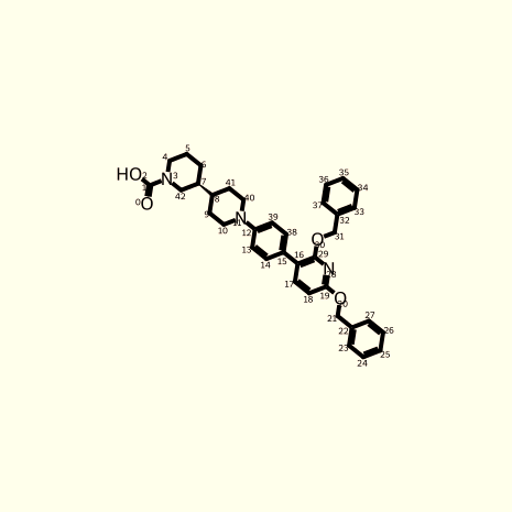 O=C(O)N1CCC[C@@H](C2CCN(c3ccc(-c4ccc(OCc5ccccc5)nc4OCc4ccccc4)cc3)CC2)C1